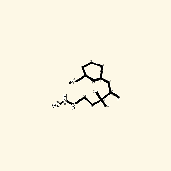 CC(C)C1CCCC(CC(C)C(C)(C)CCSNC(C)(C)C)C1